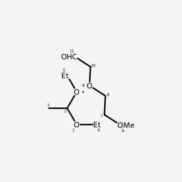 CCOC(C)OCC.COCCOCC=O